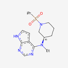 CCN(c1ncnc2[nH]ccc12)[C@@H]1CCCN(S(=O)(=O)C(C)C)C1